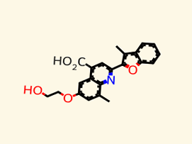 Cc1c(-c2cc(C(=O)O)c3cc(OCCO)cc(C)c3n2)oc2ccccc12